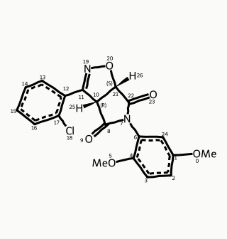 COc1ccc(OC)c(N2C(=O)[C@@H]3C(c4ccccc4Cl)=NO[C@@H]3C2=O)c1